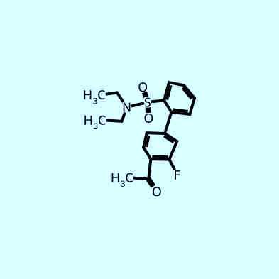 CCN(CC)S(=O)(=O)c1ccccc1-c1ccc(C(C)=O)c(F)c1